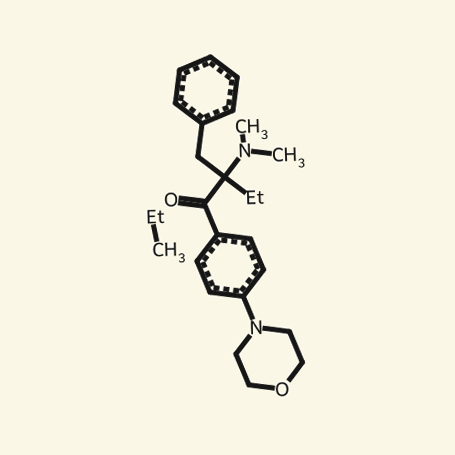 CCC.CCC(Cc1ccccc1)(C(=O)c1ccc(N2CCOCC2)cc1)N(C)C